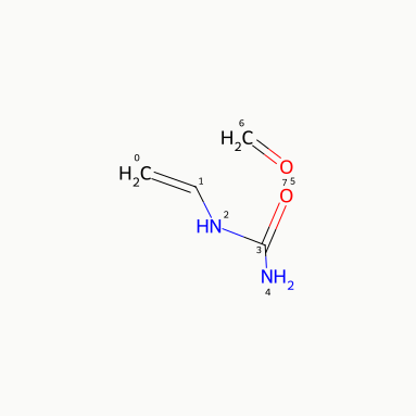 C=CNC(N)=O.C=O